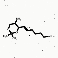 CCCCCCCCCCCCCC=CC1OC(C)(C)OCC1N